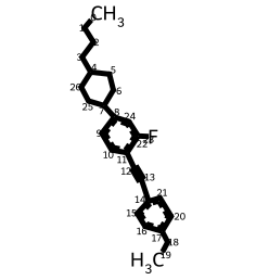 CCCCC1CCC(c2ccc(C#Cc3ccc(CC)cc3)c(F)c2)CC1